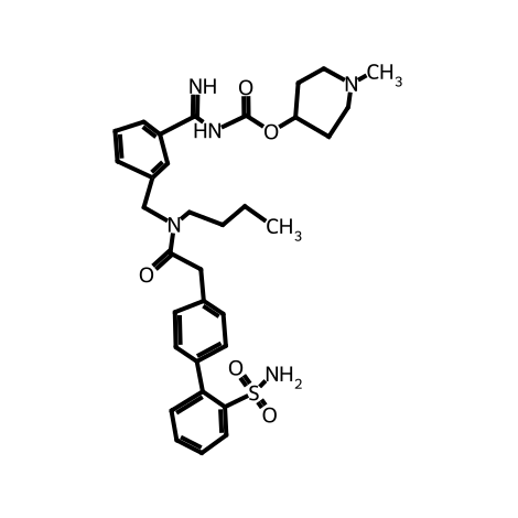 CCCCN(Cc1cccc(C(=N)NC(=O)OC2CCN(C)CC2)c1)C(=O)Cc1ccc(-c2ccccc2S(N)(=O)=O)cc1